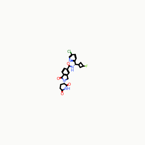 O=C1CC[C@H](N2Cc3cc(C(=O)N[C@H](c4ccc(Cl)cn4)C4CC(F)C4)ccc3C2=O)C(=O)N1